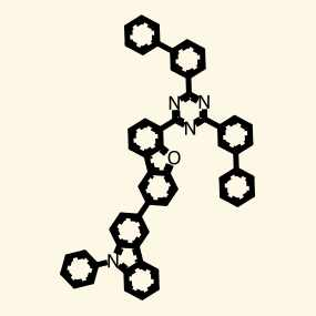 c1ccc(-c2cccc(-c3nc(-c4cccc(-c5ccccc5)c4)nc(-c4cccc5c4oc4ccc(-c6ccc7c(c6)c6ccccc6n7-c6ccccc6)cc45)n3)c2)cc1